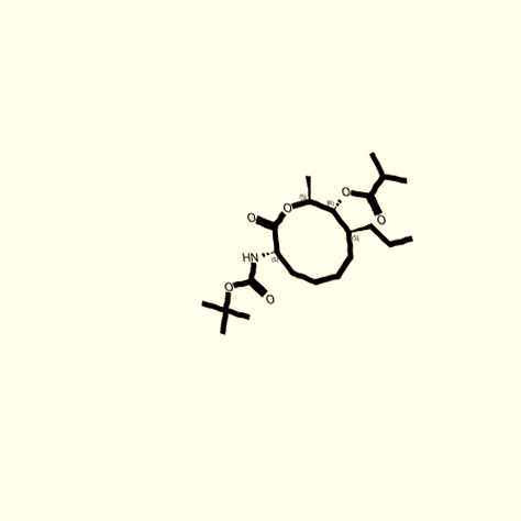 CCC[C@H]1CCCC[C@H](NC(=O)OC(C)(C)C)C(=O)O[C@@H](C)[C@@H]1OC(=O)C(C)C